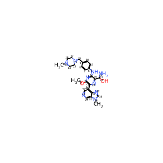 COc1nc(Nc2ccc(CN3CCN(C)CC3)cc2)c(C(N)O)nc1-c1cncc2c1ncn2C